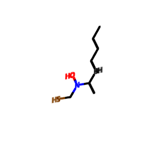 CCCCBC(C)N(O)CS